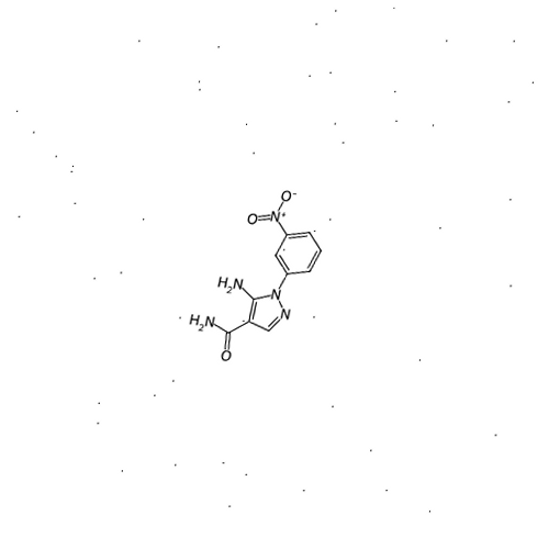 NC(=O)c1cnn(-c2cccc([N+](=O)[O-])c2)c1N